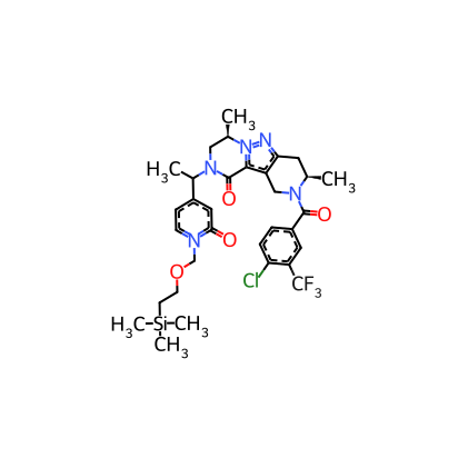 CC(c1ccn(COCC[Si](C)(C)C)c(=O)c1)N1C[C@@H](C)n2nc3c(c2C1=O)CN(C(=O)c1ccc(Cl)c(C(F)(F)F)c1)[C@H](C)C3